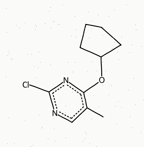 Cc1cnc(Cl)nc1OC1CCCC1